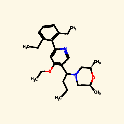 CCCC(c1cnc(-c2c(CC)cccc2CC)cc1OCC)N1C[C@H](C)O[C@@H](C)C1